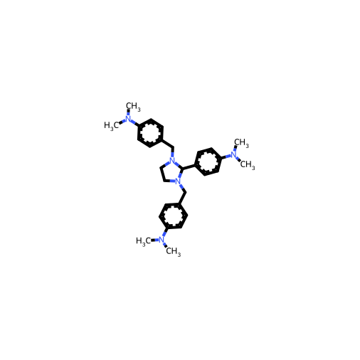 CN(C)c1ccc(CN2CCN(Cc3ccc(N(C)C)cc3)C2c2ccc(N(C)C)cc2)cc1